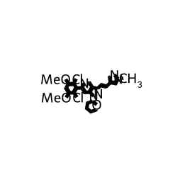 COc1cc(OC)c(Cl)c(-c2cc3c(cn2)c(/C=C/c2cnn(C)c2)nn3C2CCCCO2)c1Cl